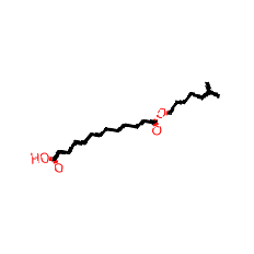 CC(C)CCCCCOC(=O)CCCCCCCCCCCC(=O)O